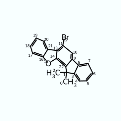 CC1(C)c2ccccc2-c2cc(Br)c3c(oc4ccccc43)c21